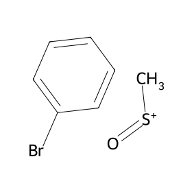 Brc1ccccc1.C[S+]=O